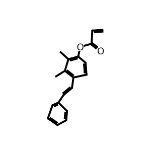 C=CC(=O)Oc1ccc(C=Cc2ccccc2)c(C)c1C